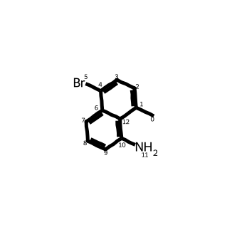 Cc1ccc(Br)c2cccc(N)c12